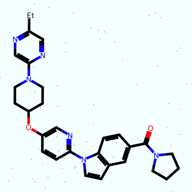 CCc1cnc(N2CCC(Oc3ccc(-n4ccc5cc(C(=O)N6CCCC6)ccc54)nc3)CC2)cn1